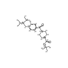 CC(C)N(Cc1ccc(C(=O)N2CCN(C(=O)OC(C)(C)C)CC2)cc1)C(C)C